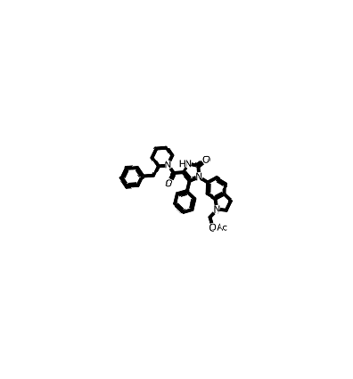 CC(=O)OCN1CCc2ccc(-n3c(-c4ccccc4)c(C(=O)N4CCCCC4Cc4ccccc4)[nH]c3=O)cc21